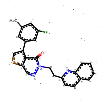 COc1cc(F)cc(-c2csc3cnn(CCc4ccc5ccccc5n4)c(=O)c23)c1